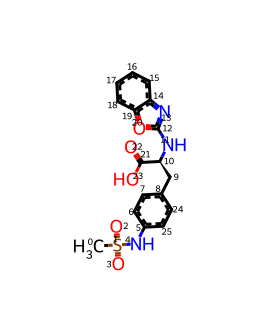 CS(=O)(=O)Nc1ccc(C[C@H](Nc2nc3ccccc3o2)C(=O)O)cc1